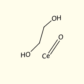 OCCO.[O]=[Ce]